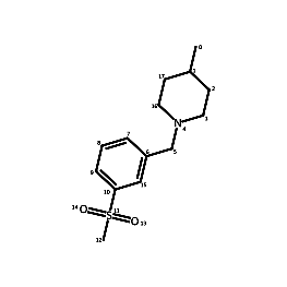 CC1CCN(Cc2cccc(S(C)(=O)=O)c2)CC1